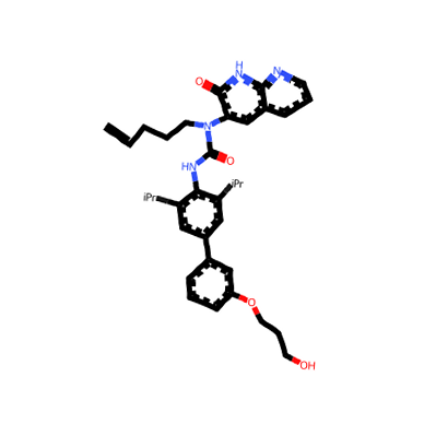 C=CCCCN(C(=O)Nc1c(C(C)C)cc(-c2cccc(OCCCO)c2)cc1C(C)C)c1cc2cccnc2[nH]c1=O